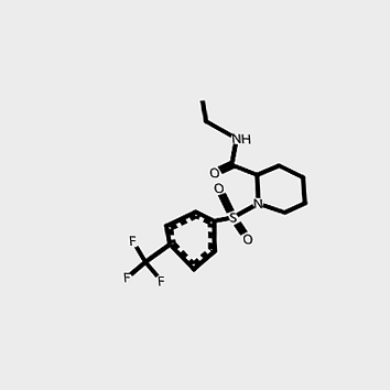 CCNC(=O)C1CCCCN1S(=O)(=O)c1ccc(C(F)(F)F)cc1